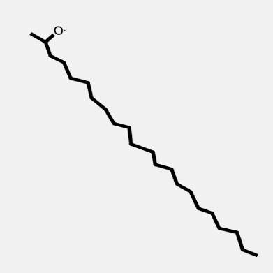 CCCCCCCCCCCCCCCCCCCCC(C)[O]